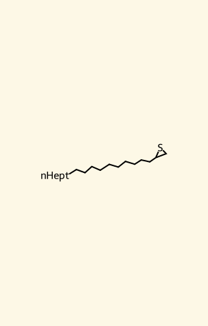 CCCCCCCCCCCCCCCCCC1CS1